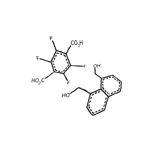 O=C(O)c1c(F)c(F)c(C(=O)O)c(F)c1F.OCc1cccc2cccc(CO)c12